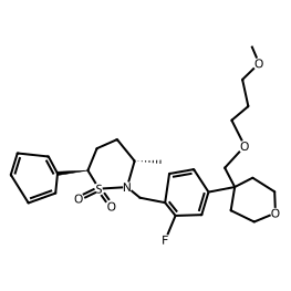 COCCCOCC1(c2ccc(CN3[C@@H](C)CC[C@H](c4ccccc4)S3(=O)=O)c(F)c2)CCOCC1